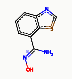 N/C(=N\O)c1cccc2ncsc12